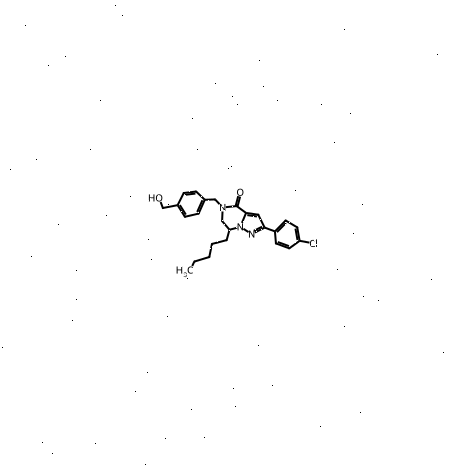 CCCCCC1CN(Cc2ccc(CO)cc2)C(=O)c2cc(-c3ccc(Cl)cc3)nn21